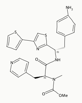 COC(=O)N(C)[C@@H](Cc1ccncc1)C(=O)N[C@@H](Cc1ccc(N)cc1)c1nc(-c2cccs2)cs1